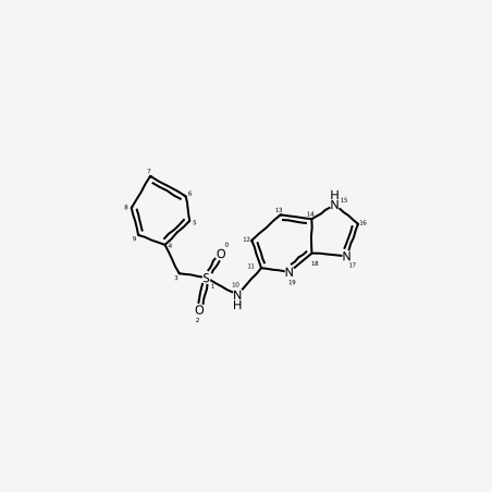 O=S(=O)(Cc1ccccc1)Nc1ccc2[nH]cnc2n1